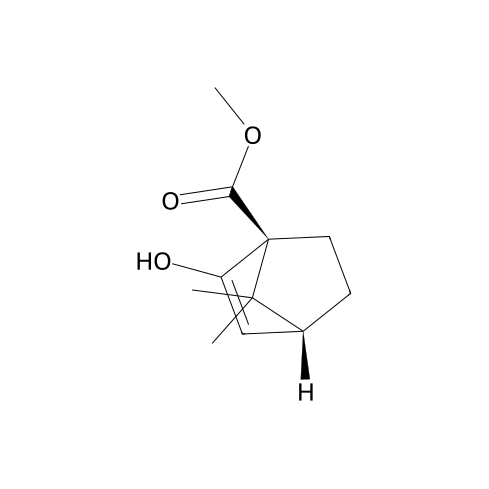 COC(=O)[C@]12CC[C@H](C=C1O)C2(C)C